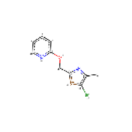 Cc1nc(COc2ccccn2)sc1Br